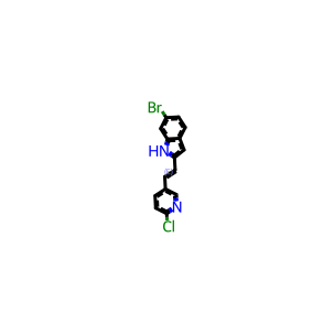 Clc1ccc(/C=C/c2cc3ccc(Br)cc3[nH]2)cn1